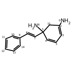 NC1=CC=CC(N)(C=Cc2ccccc2)C1